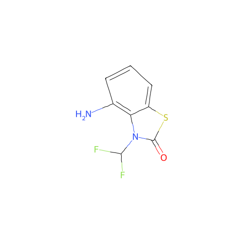 Nc1cccc2sc(=O)n(C(F)F)c12